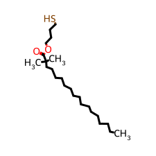 CCCCCCCCCCCCCCCCC(C)(C)C(=O)OCCCCS